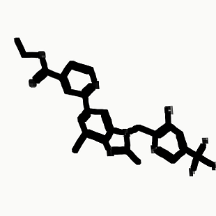 CCOC(=O)c1ccnc(-c2cc(C)c3nc(C)n(Cc4ncc(C(F)(F)F)cc4Cl)c3c2)c1